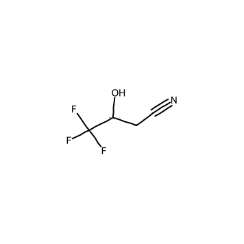 N#CC[C](O)C(F)(F)F